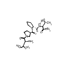 C[C@@H](O)[C@H](N)C(=O)N1CC[C@@H](C(=O)N2CCC[C@@H]2C(=O)N[C@H](C(N)=O)[C@@H](C)O)C1